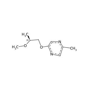 CO[C@@H](C)COc1cnc(C)cn1